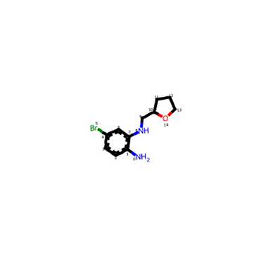 Nc1ccc(Br)cc1NCC1CCCO1